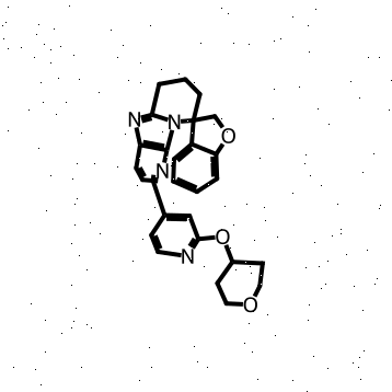 c1ccc2c(c1)OCC21CCCc2nc3ccc(-c4ccnc(OC5CCOCC5)c4)nc3n21